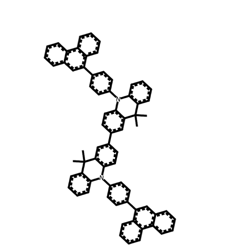 CC1(C)c2ccccc2N(c2ccc(-c3cc4ccccc4c4ccccc34)cc2)c2ccc(-c3ccc4c(c3)C(C)(C)c3ccccc3N4c3ccc(-c4cc5ccccc5c5ccccc45)cc3)cc21